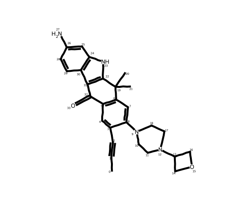 CC#Cc1cc2c(cc1N1CCN(C3COC3)CC1)C(C)(C)c1[nH]c3cc(N)ccc3c1C2=O